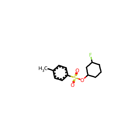 Cc1ccc(S(=O)(=O)OC2CCCC(F)C2)cc1